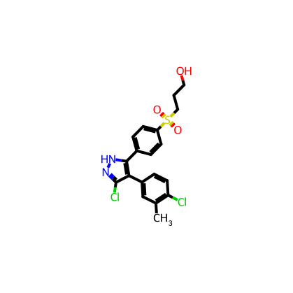 Cc1cc(-c2c(Cl)n[nH]c2-c2ccc(S(=O)(=O)CCCO)cc2)ccc1Cl